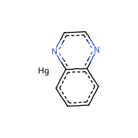 [Hg].c1ccc2nccnc2c1